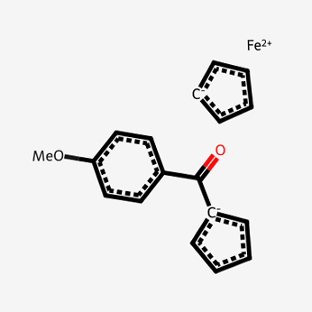 COc1ccc(C(=O)[c-]2cccc2)cc1.[Fe+2].c1cc[cH-]c1